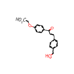 O=C(O)COc1ccc(C(=O)/C=C/c2ccc(CO)cc2)cc1